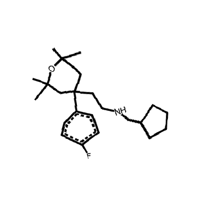 CC1(C)CC(CCNCC2CCCC2)(c2ccc(F)cc2)CC(C)(C)O1